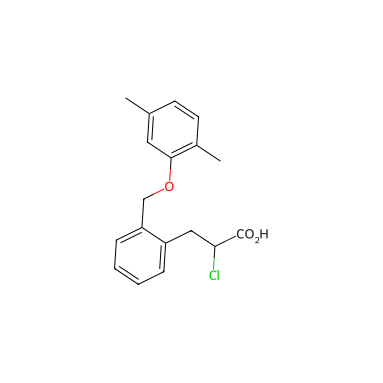 Cc1ccc(C)c(OCc2ccccc2CC(Cl)C(=O)O)c1